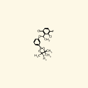 CC(Oc1cccc(B2OC(C)(C)C(C)(C)O2)c1)c1c(Cl)ccc(F)c1Cl